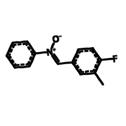 Cc1cc(C=[N+]([O-])c2ccccc2)ccc1F